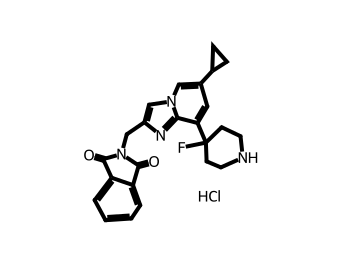 Cl.O=C1c2ccccc2C(=O)N1Cc1cn2cc(C3CC3)cc(C3(F)CCNCC3)c2n1